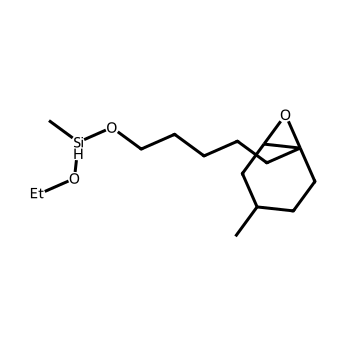 CCO[SiH](C)OCCCCCC12CCC(C)CC1O2